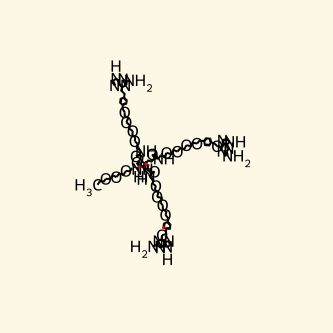 CCCOCCOCCOCCNC(=O)NC(CCC(=O)NCCOCCOCCOCCOCc1ccc(CCc2nc(N)nc3[nH]cnc23)cc1)(CCC(=O)NCCOCCOCCOCCOCc1ccc(COc2nc(N)nc3[nH]cnc23)cc1)CCC(=O)NCCOCCOCCOCCOCc1ccc(COc2nc(N)nc3[nH]cnc23)cc1